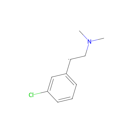 CN(C)C[CH]c1cccc(Cl)c1